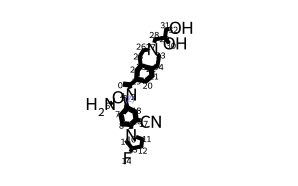 C=C(/N=C(\ON)c1ccc(N2CCC(F)C2)c(C#N)c1)c1ccc2c(c1)CCN(CC(O)CO)CC2